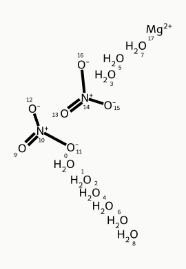 O.O.O.O.O.O.O.O.O.O=[N+]([O-])[O-].O=[N+]([O-])[O-].[Mg+2]